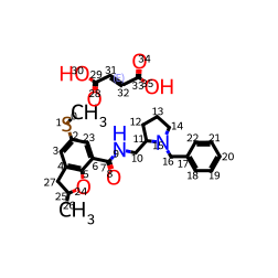 CSc1cc2c(c(C(=O)NCC3CCCN3Cc3ccccc3)c1)OC(C)C2.O=C(O)/C=C/C(=O)O